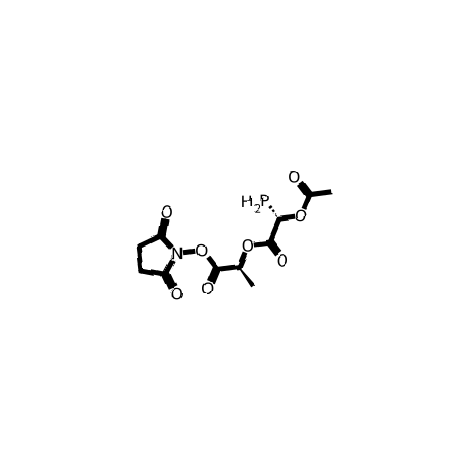 CC(=O)O[C@@H](P)C(=O)O[C@@H](C)C(=O)ON1C(=O)CCC1=O